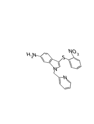 Nc1ccc2c(Sc3ccccc3[N+](=O)[O-])cn(Cc3ccccn3)c2c1